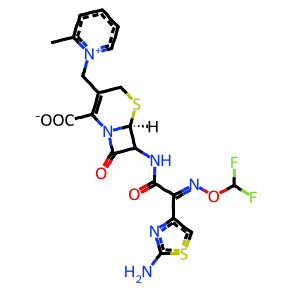 Cc1cccc[n+]1CC1=C(C(=O)[O-])N2C(=O)C(NC(=O)C(=NOC(F)F)c3csc(N)n3)[C@@H]2SC1